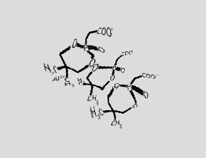 CC1(C)COP(=O)(CC(=O)[O-])OC1.CC1(C)COP(=O)(CC(=O)[O-])OC1.CC1(C)COP(=O)(CC(=O)[O-])OC1.[Al+3]